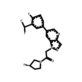 O=C(Cn1ncc2ncc(-c3ccc(F)c(C(F)F)c3)cc21)N1CC[C@@H](F)C1